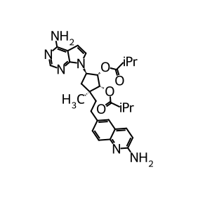 CC(C)C(=O)O[C@H]1[C@H](n2ccc3c(N)ncnc32)C[C@](C)(CCc2ccc3nc(N)ccc3c2)[C@H]1OC(=O)C(C)C